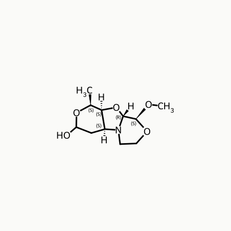 CO[C@H]1OCCN2[C@@H]1O[C@@H]1[C@H](C)OC(O)C[C@@H]12